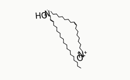 CCCCCCCC/C=C\CCCCCCCC[N+](C)(C)[O-].CCCCCCCCCCCCCCCCC=CCN(C)O